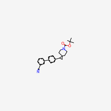 CC(C)(C)OC(=O)N1CCC2(CC1)CC2c1ccc(-c2cccc(C#N)c2)cc1